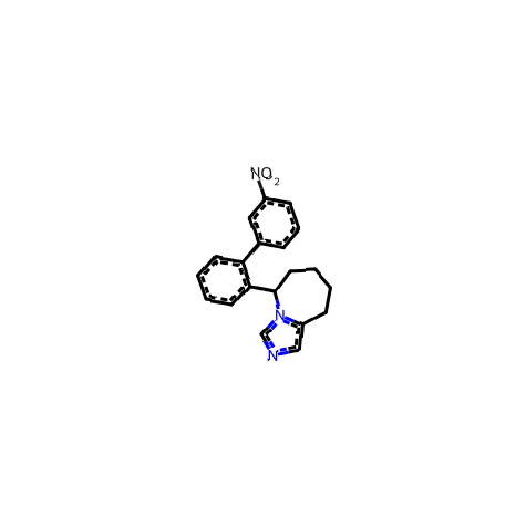 O=[N+]([O-])c1cccc(-c2ccccc2C2CCCCc3cncn32)c1